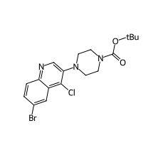 CC(C)(C)OC(=O)N1CCN(c2cnc3ccc(Br)cc3c2Cl)CC1